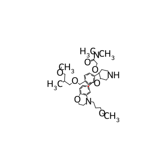 COCCCN1CCOc2ccc(CO[C@H]3CNCC[C@]3(OCC(=O)N(C)C)c3ccc(COC[C@@H](C)COC)cc3)cc21